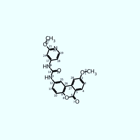 COc1ccc2c(=O)oc3ccc(NC(=O)Nc4ccnc(OC)c4)cc3c2c1